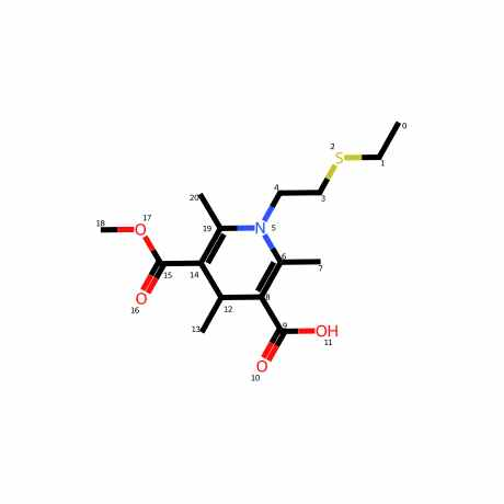 CCSCCN1C(C)=C(C(=O)O)C(C)C(C(=O)OC)=C1C